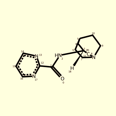 O=C(N[C@@H]1CC2CCN(CC2)C1)c1ncccn1